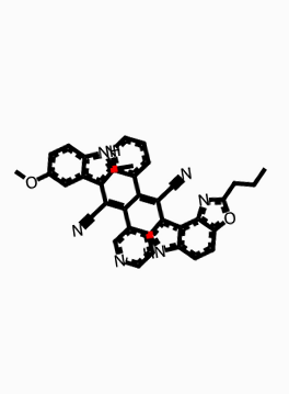 CCCc1nc2c(ccc3[nH]cc(/C(C#N)=C(\C(=C(\C#N)c4c(C)[nH]c5ccc(OC)cc45)c4cccnc4)c4cccnc4)c32)o1